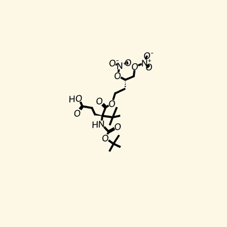 CC(C)(C)OC(=O)N[C@](CCC(=O)O)(C(=O)OCC[C@@H](CO[N+](=O)[O-])O[N+](=O)[O-])C(C)(C)C